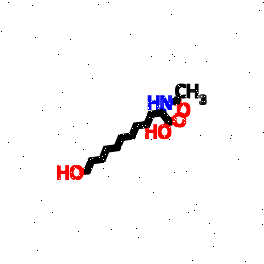 CC(=O)NC(CCCCCCCCCCO)C(=O)O